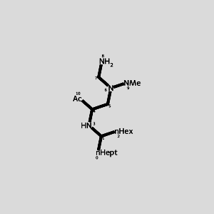 CCCCCCCC(CCCCCC)NC(CN(CN)NC)C(C)=O